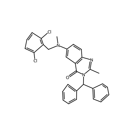 Cc1nc2ccc(N(C)Cc3c(Cl)cccc3Cl)cc2c(=O)n1C(c1ccccc1)c1ccccc1